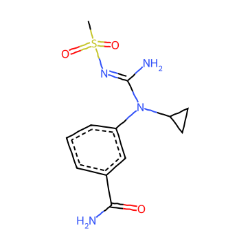 CS(=O)(=O)N=C(N)N(c1cccc(C(N)=O)c1)C1CC1